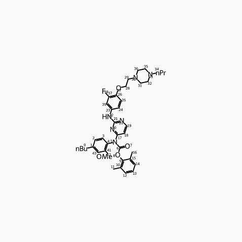 CCCCc1ccc(N(C(=O)Oc2c(C)cccc2C)c2ccnc(Nc3ccc(OCCN4CCN(CCC)CC4)c(F)c3)n2)c(OC)c1